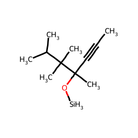 CC#CC(C)(O[SiH3])C(C)(C)C(C)C